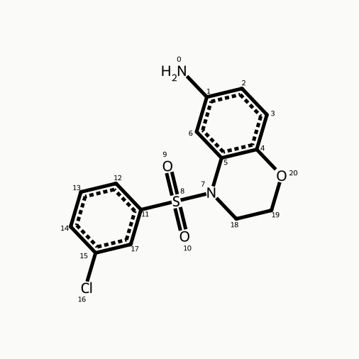 Nc1ccc2c(c1)N(S(=O)(=O)c1cccc(Cl)c1)CCO2